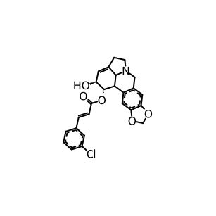 O=C(/C=C/c1cccc(Cl)c1)O[C@H]1C2c3cc4c(cc3CN3CCC(=C[C@@H]1O)C23)OCO4